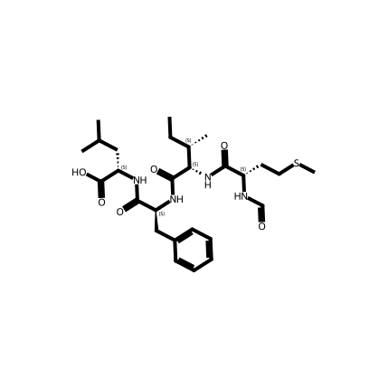 CC[C@H](C)[C@H](NC(=O)[C@H](CCSC)NC=O)C(=O)N[C@@H](Cc1ccccc1)C(=O)N[C@@H](CC(C)C)C(=O)O